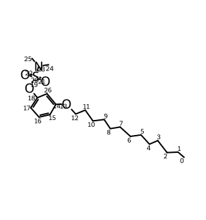 CCCCCCCCCCCCCOc1cccc(OS(=O)(=O)N(C)C)c1